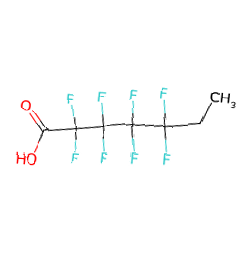 CCC(F)(F)C(F)(F)C(F)(F)C(F)(F)C(=O)O